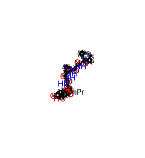 CCCC1O[C@@H]2C[C@H]3[C@@H]4CCC5=CC(=O)C=C[C@]5(C)[C@H]4[C@@H](O)C[C@]3(C)[C@]2(C(=O)COCNC(=O)CNC(=O)[C@H](Cc2ccccc2)NC(=O)CNC(=O)CNC(=O)CCC(=O)N2Cc3ccccc3/C=C\C(C)c3ccccc32)O1